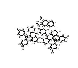 C=Cc1cc2ccccc2c(-c2cc(-c3c4c(c(N(c5ccc(C)cc5)c5ccc(C)cc5)c5ccccc35)C=CCC4)cc(-c3c4ccccc4c(N(c4ccc(C)cc4)c4ccc(C)cc4)c4ccccc34)c2)c1C=C